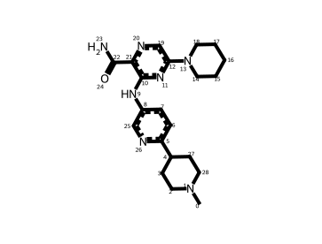 CN1CCC(c2ccc(Nc3nc(N4CCCCC4)cnc3C(N)=O)cn2)CC1